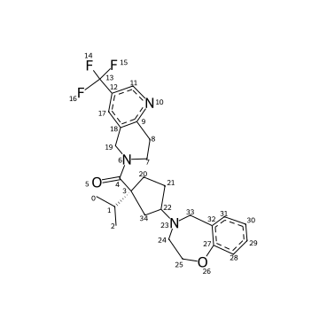 CC(C)[C@]1(C(=O)N2CCc3ncc(C(F)(F)F)cc3C2)CCC(N2CCOc3ccccc3C2)C1